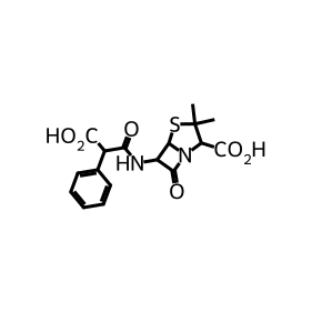 CC1(C)SC2C(NC(=O)C(C(=O)O)c3ccccc3)C(=O)N2C1C(=O)O